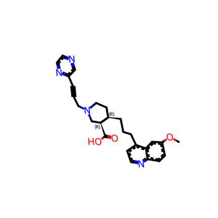 COc1ccc2nccc(CCC[C@@H]3CCN(CC#Cc4cnccn4)C[C@@H]3C(=O)O)c2c1